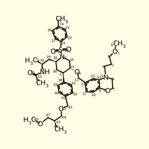 COCCCN1CCOc2ccc(CO[C@H]3CN(S(=O)(=O)c4ccc(C)cc4)[C@H](C[C@H](C)NC(C)=O)C[C@@H]3c3ccc(COC[C@@H](C)COC)cc3)cc21